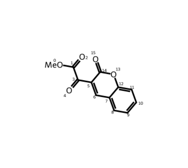 COC(=O)C(=O)c1cc2ccccc2oc1=O